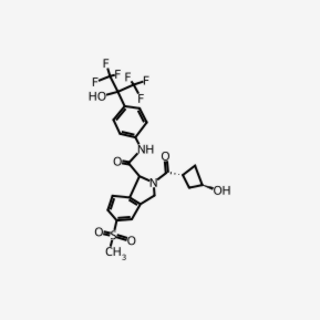 CS(=O)(=O)c1ccc2c(c1)CN(C(=O)[C@H]1C[C@H](O)C1)C2C(=O)Nc1ccc(C(O)(C(F)(F)F)C(F)(F)F)cc1